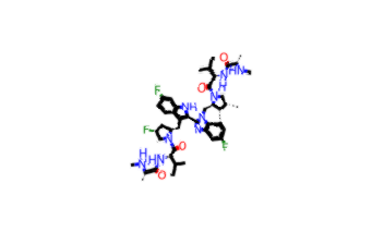 CN[C@@H](C)C(=O)N[C@H](C(=O)N1C[C@@H](F)C[C@H]1Cc1c(-c2nc3cc(F)ccc3n2C[C@@H]2[C@@H](C)[C@@H](C)CN2C(=O)[C@@H](NC(=O)[C@H](C)NC)C(C)C)[nH]c2cc(F)ccc12)C(C)C